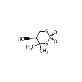 C#CC1CSS(=O)(=O)SC1(C)C